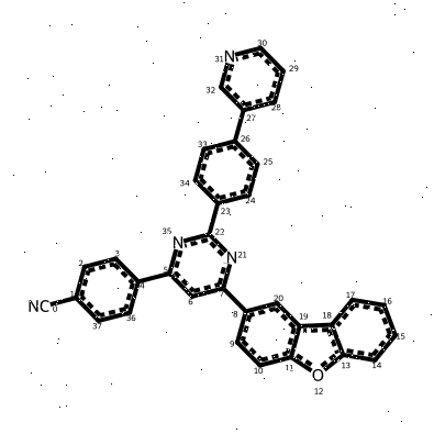 N#Cc1ccc(-c2cc(-c3ccc4oc5ccccc5c4c3)nc(-c3ccc(-c4cccnc4)cc3)n2)cc1